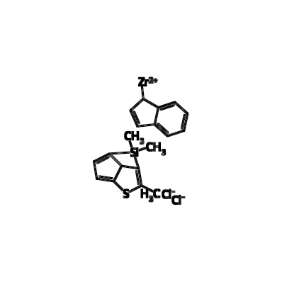 CC1=C2C3C(=CC=C3[Si]2(C)C)S1.[Cl-].[Cl-].[Zr+2][CH]1C=Cc2ccccc21